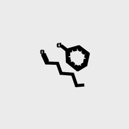 CCCCCC=O.Clc1ccccc1